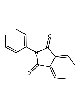 C/C=C\C(=C/C)N1C(=O)C(=C/C)/C(=C\C)C1=O